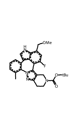 COCc1cc(F)c(-c2c3c(nn2-c2c(C)cccc2C)CCN(C(=O)OC(C)(C)C)C3)c2cc[nH]c12